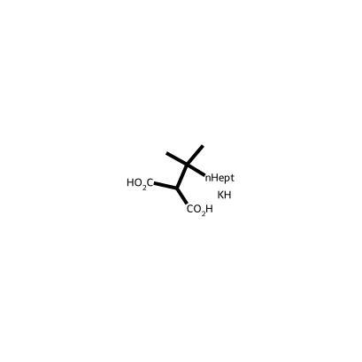 CCCCCCCC(C)(C)C(C(=O)O)C(=O)O.[KH]